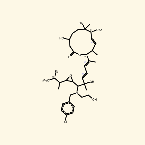 CC[C@H](OC)C(C)C1OC1C(N(CCO)Cc1ccc(Cl)cc1)C(C)(O)/C=C/C=C(\C)[C@H]1OC(=O)CC(O)CCC(C)(O)[C@@H](OC(C)=O)/C=C/C1C